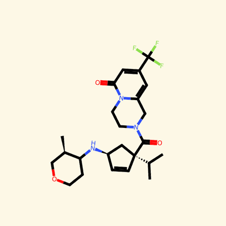 CC(C)[C@]1(C(=O)N2CCn3c(cc(C(F)(F)F)cc3=O)C2)C=C[C@@H](NC2CCOC[C@H]2C)C1